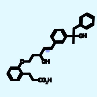 CC(O)(Cc1ccccc1)c1cccc(/C=C/C(O)CCOc2ccccc2CCC(=O)O)c1